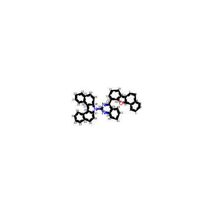 c1ccc2c(c1)ccc1c3cccc(-c4nc(-n5c6ccc7ccccc7c6c6c7ccccc7ccc65)nc5ccccc45)c3oc21